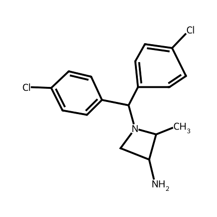 CC1C(N)CN1C(c1ccc(Cl)cc1)c1ccc(Cl)cc1